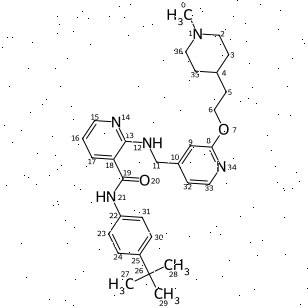 CN1CCC(CCOc2cc(CNc3ncccc3C(=O)Nc3ccc(C(C)(C)C)cc3)ccn2)CC1